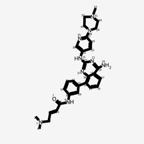 CN(C)CC=CC(=O)Nc1cccc(-c2cccc3c(N)nc(Nc4ccc(N5CCN(C)CC5)nc4)nc23)c1